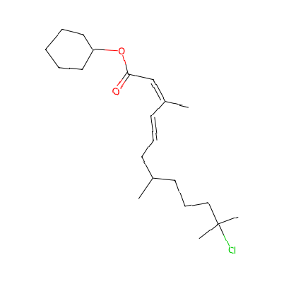 CC(C=CCC(C)CCCC(C)(C)Cl)=CC(=O)OC1CCCCC1